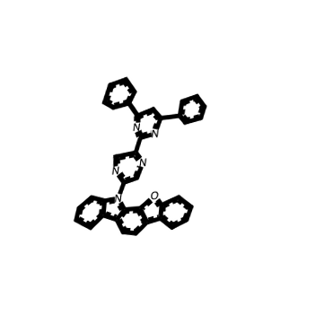 c1ccc(-c2cc(-c3ccccc3)nc(-c3cnc(-n4c5ccccc5c5ccc6c7ccccc7oc6c54)cn3)n2)cc1